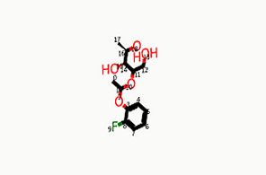 CC(Oc1ccccc1F)OC(CO)[C@@H](O)[C@@H](C)O